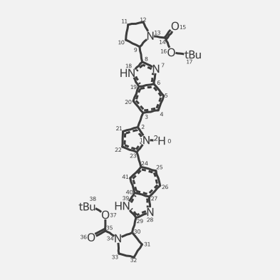 [2H]n1c(-c2ccc3nc(C4CCCN4C(=O)OC(C)(C)C)[nH]c3c2)ccc1-c1ccc2nc(C3CCCN3C(=O)OC(C)(C)C)[nH]c2c1